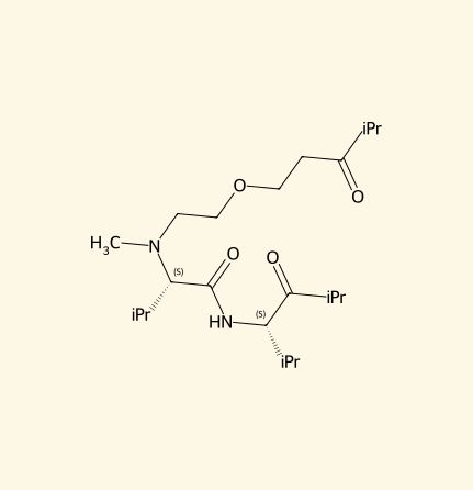 CC(C)C(=O)CCOCCN(C)[C@H](C(=O)N[C@H](C(=O)C(C)C)C(C)C)C(C)C